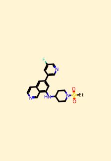 CCS(=O)(=O)N1CCC(Nc2cc(-c3cncc(F)c3)cc3ccncc23)CC1